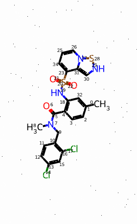 Cc1ccc(C(=O)N(C)Cc2ccc(Cl)cc2Cl)c(NS(=O)(=O)C2=CC=CN3SNC=C23)c1